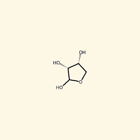 OC1OC[C@@H](O)[C@H]1O